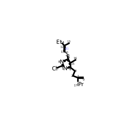 C=C(CCc1nc(Cl)nc(S/C=C(\C)CC)c1C)C(C)C